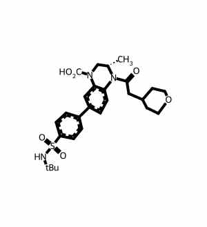 C[C@H]1CN(C(=O)O)c2cc(-c3ccc(S(=O)(=O)NC(C)(C)C)cc3)ccc2N1C(=O)CC1CCOCC1